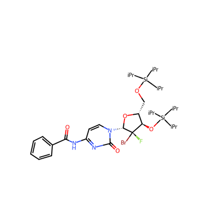 CC(C)[Si](OC[C@H]1O[C@@H](n2ccc(NC(=O)c3ccccc3)nc2=O)[C@@](F)(Br)[C@@H]1O[Si](C(C)C)(C(C)C)C(C)C)(C(C)C)C(C)C